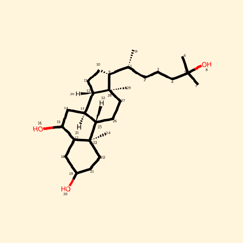 C[C@H](CCCC(C)(C)O)[C@H]1CC[C@H]2[C@@H]3CC(O)C4CC(O)CC[C@]4(C)[C@H]3CC[C@]12C